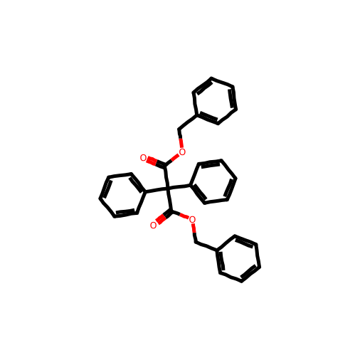 O=C(OCc1ccccc1)C(C(=O)OCc1ccccc1)(c1ccccc1)c1ccccc1